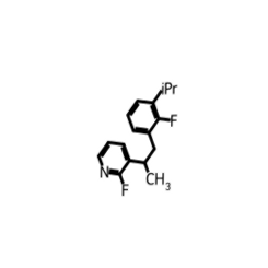 CC(C)c1cccc(CC(C)c2cccnc2F)c1F